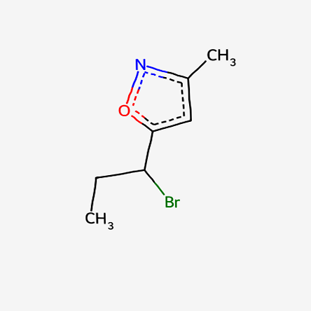 CCC(Br)c1cc(C)no1